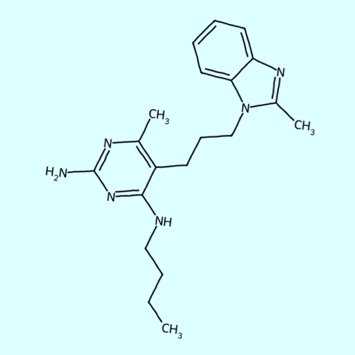 CCCCNc1nc(N)nc(C)c1CCCn1c(C)nc2ccccc21